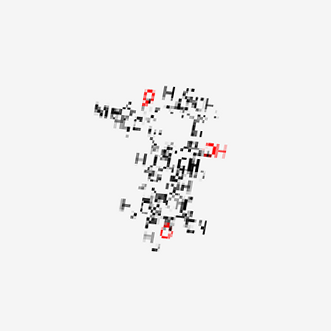 COC(=O)[C@@]1(C)CCC(C)(C)CCC2[C@H](O)C[C@@H]3[C@@]4(C)C=C(C#N)C(=O)C(C)(C)[C@@H]4CC[C@@]3(C)[C@]2(C)CC1